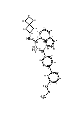 CCOc1cccc(-c2ccc([C@@H](C)n3ncc4cccc(C(=O)NC5CC6(CCC6)C5)c43)cc2)n1